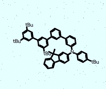 CC(C)(C)c1ccc(N(c2cccc(-c3cccc(-c4cc(-c5cc(C(C)(C)C)cc(C(C)(C)C)c5)cc(C(C)(C)C)c4)c3)c2)c2ccc3c(c2)C(C)(C)c2ccccc2-3)cc1